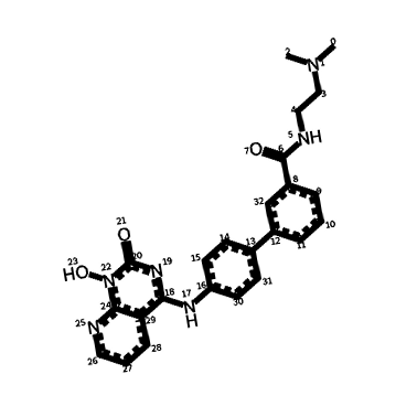 CN(C)CCNC(=O)c1cccc(-c2ccc(Nc3nc(=O)n(O)c4ncccc34)cc2)c1